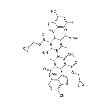 COC(=O)C1=C(C)N(N2C(C)=C(C(=O)OC)C(c3csc4c(C#N)ccc(F)c34)C(C(=O)OCC3CC3)=C2N)C(N)=C(C(=O)OCC2CC2)C1c1csc2c(C#N)cc(F)cc12